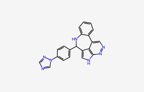 c1ccc2c(c1)NC(c1ccc(-n3cncn3)cc1)c1c[nH]c3nncc-2c13